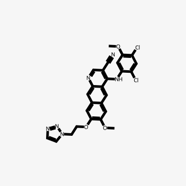 COc1cc(Nc2c(C#N)cnc3cc4cc(OCCn5ccnn5)c(OC)cc4cc23)c(Cl)cc1Cl